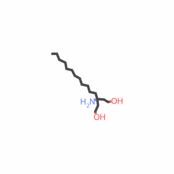 CCCCCCCCCCCCC(N)(CCO)CCO